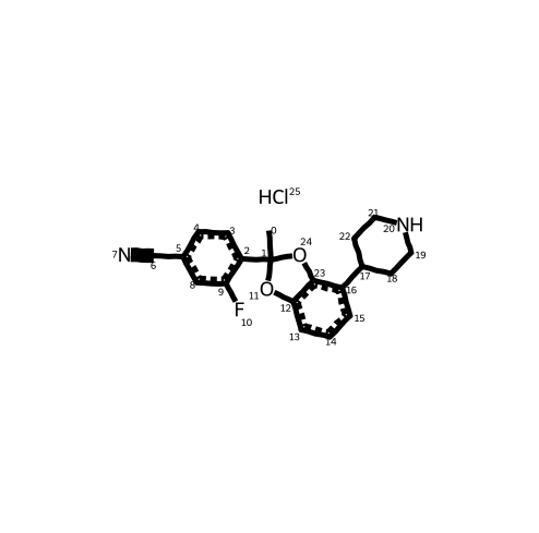 CC1(c2ccc(C#N)cc2F)Oc2cccc(C3CCNCC3)c2O1.Cl